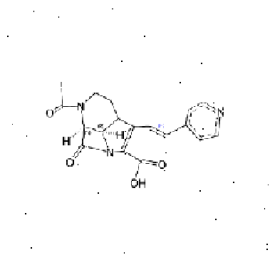 CC(=O)N1CCC2C(/C=C/c3ccncc3)=C(C(=O)O)N3C(=O)[C@@H]1[C@@H]23